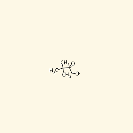 CC(C)(C)C(=O)C[O]